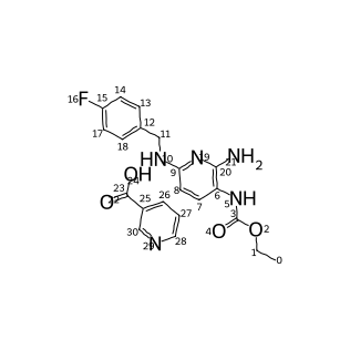 CCOC(=O)Nc1ccc(NCc2ccc(F)cc2)nc1N.O=C(O)c1cccnc1